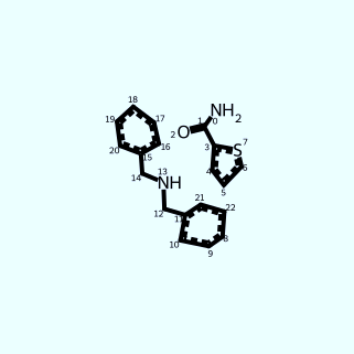 NC(=O)c1cccs1.c1ccc(CNCc2ccccc2)cc1